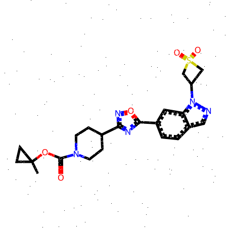 CC1(OC(=O)N2CCC(c3noc(-c4ccc5cnn(C6CS(=O)(=O)C6)c5c4)n3)CC2)CC1